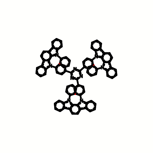 c1ccc(-n2c3ccccc3c3ccc4c5ccccc5n(-c5ccc(-c6nc(-c7ccc(-n8c9ccccc9c9ccc%10c%11ccccc%11n(-c%11ccccc%11)c%10c98)cc7)nc(-c7ccc(-n8c9ccccc9c9ccc%10c%11ccccc%11n(-c%11ccccc%11)c%10c98)cc7)n6)cc5)c4c32)cc1